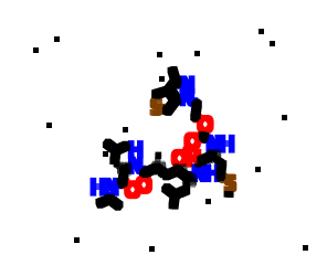 CSCC[C@H](NC(=O)OCCn1nc(C)c2c1CSC2)C(=O)N[C@@H](CC(C)C)[C@@H](O)C[C@@H](C)C(=O)N[C@@H](CC(C)C)C(=O)NC(C)C